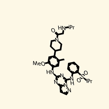 COc1cc(C2CCN(C(=O)CNC(C)C)CC2)c(C)cc1Nc1nc(Nc2ccccc2S(=O)(=O)C(C)C)n2nccc2n1